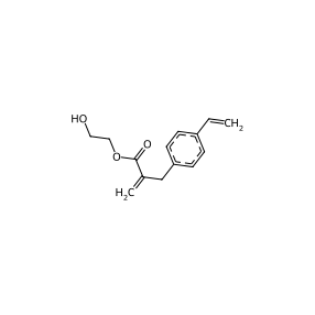 C=Cc1ccc(CC(=C)C(=O)OCCO)cc1